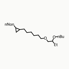 CCCCCCCCCC1CC1CCCCCCOCC(CC)OCCCC